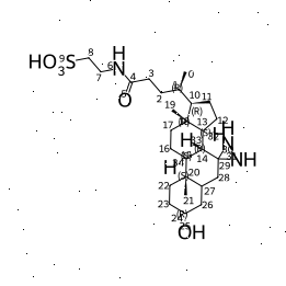 C[C@H](CCC(=O)NCCS(=O)(=O)O)[C@H]1CC[C@H]2[C@H]3[C@H](CC[C@]12C)[C@@]1(C)CC[C@@H](O)CC1CC31NN1